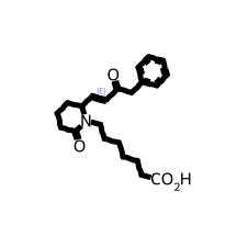 O=C(O)CCCCCCN1C(=O)CCCC1/C=C/C(=O)Cc1ccccc1